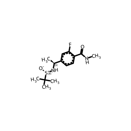 CNC(=O)c1ccc([C@H](C)N[S@@+]([O-])C(C)(C)C)cc1F